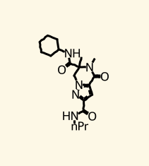 CCCNC(=O)c1cc2n(n1)CC(C)(C(=O)NC1CCCCC1)N(C)C2=O